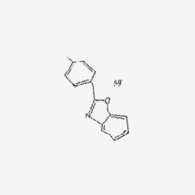 Cc1ccc(-c2nc3ccccc3o2)cc1.[Ag]